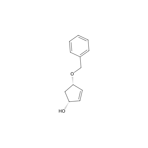 O[C@H]1C=C[C@@H](OCc2ccccc2)C1